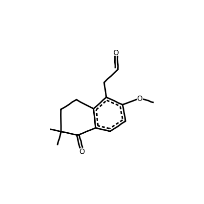 COc1ccc2c(c1CC=O)CCC(C)(C)C2=O